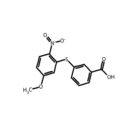 COc1ccc([N+](=O)[O-])c(Sc2cccc(C(=O)O)c2)c1